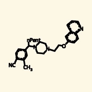 CCCCCC(c1ccc(C#N)c(C)c1)N1CCN(CCOc2ccc3ncccc3c2)CC1